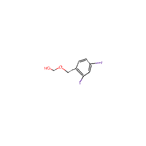 OCOCc1ccc(I)cc1I